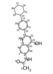 CC(=O)Nc1ccc2nc(-c3ccc(C4CCCCC4)cc3)cc(O)c2c1